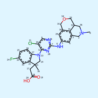 CN1Cc2cc(Nc3ncc(Cl)c(N4CC(C)(CC(=O)O)c5cc(F)ccc54)n3)cc3c2C(COC3)C1